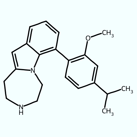 COc1cc(C(C)C)ccc1-c1cccc2cc3n(c12)CCNCC3